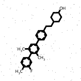 Cc1ccc(-c2c(C)cc(-c3ccc(CCC4CCC(O)CC4)cc3)cc2C)cc1F